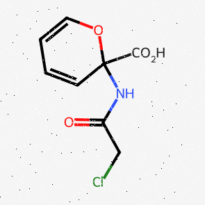 O=C(CCl)NC1(C(=O)O)C=CC=CO1